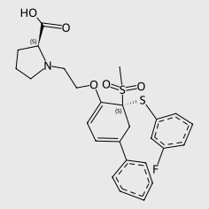 CS(=O)(=O)[C@@]1(Sc2cccc(F)c2)CC(c2ccccc2)=CC=C1OCCN1CCC[C@H]1C(=O)O